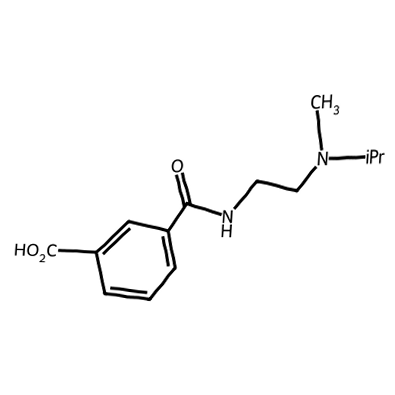 CC(C)N(C)CCNC(=O)c1cccc(C(=O)O)c1